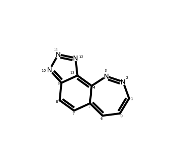 c1cnnc2c(c1)ccc1nnnc12